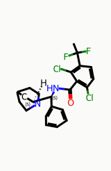 CC(F)(F)c1ccc(Cl)c(C(=O)N[C@@H](c2ccccc2)[C@@H]2CC3CCN2CC3)c1Cl